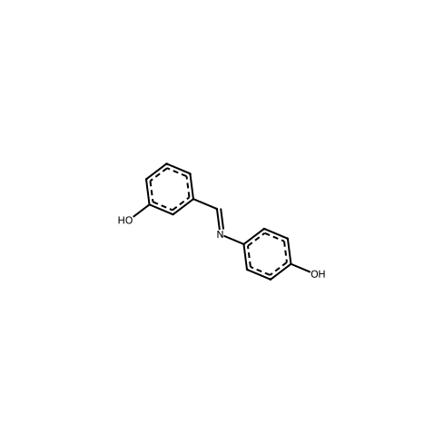 Oc1ccc(/N=C/c2cccc(O)c2)cc1